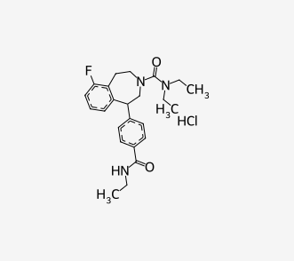 CCNC(=O)c1ccc(C2CN(C(=O)N(CC)CC)CCc3c(F)cccc32)cc1.Cl